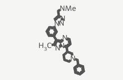 CNCc1cn(-c2cccc(-c3c(C)nn4c(C5CCCN(Cc6ccccc6)C5)ccnc34)c2)nn1